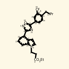 CCOC(=O)CCn1ccc2c(-c3noc(-c4ccc(CC(C)C)c(C(F)(F)F)c4)n3)cccc21